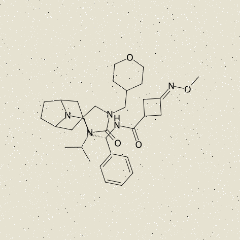 CON=C1CC(C(=O)N[C@@H](CCN2C3CCC2CC2(C3)CN(CC3CCOCC3)C(=O)N2C(C)C)c2ccccc2)C1